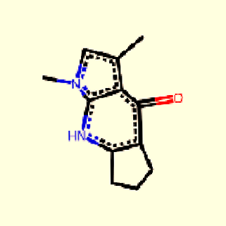 Cc1cn(C)c2[nH]c3c(c(=O)c12)CCC3